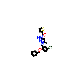 Cc1cc(NC(=O)c2cccs2)nn1Cc1cc(Cl)ccc1OCc1ccccc1